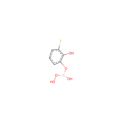 OOB(O)Oc1cccc(F)c1O